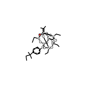 CCC(C)(C)c1ccc(O[Si]23O[Si]4(CC)O[Si]5(CC)O[Si]6(CC)O[Si](CC)(O4)O[Si](CC)(O[Si](CC)(O6)O[Si](CC)(O5)O2)O3)cc1